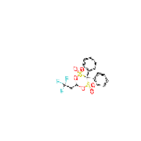 O=S1(=O)OC(CC(F)(F)F)OS(=O)(=O)C1(c1ccccc1)c1ccccc1